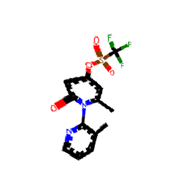 Cc1cccnc1-n1c(C)cc(OS(=O)(=O)C(F)(F)F)cc1=O